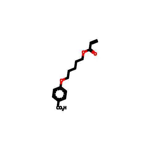 C=CC(=O)OCCCCCOc1ccc(C(=O)O)cc1